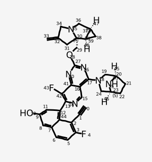 C#Cc1c(F)ccc2cc(O)cc(-c3ncc4c(N5C[C@H]6CC[C@@H](C5)N6)nc(OC[C@]56CC(=C)CN5C[C@H]5C[C@H]56)nc4c3F)c12